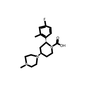 Cc1cc(F)ccc1[C@H]1C[C@H](N2CCN(C)CC2)CCN1C(=O)O